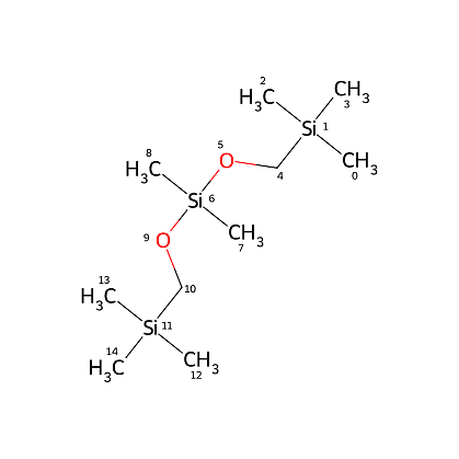 C[Si](C)(C)CO[Si](C)(C)OC[Si](C)(C)C